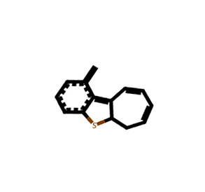 C=c1cccc2c1=C1C=CC=CCC1S2